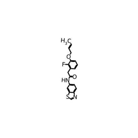 CC=CCOc1cccc(CC(=O)Nc2ccc3ncsc3c2)c1F